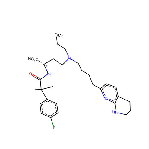 COCCN(CCCCc1ccc2c(n1)NCCC2)CC[C@H](NC(=O)C(C)(C)c1ccc(F)cc1)C(=O)O